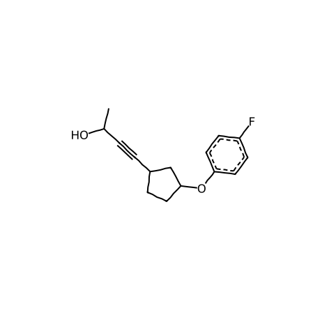 CC(O)C#CC1CCC(Oc2ccc(F)cc2)C1